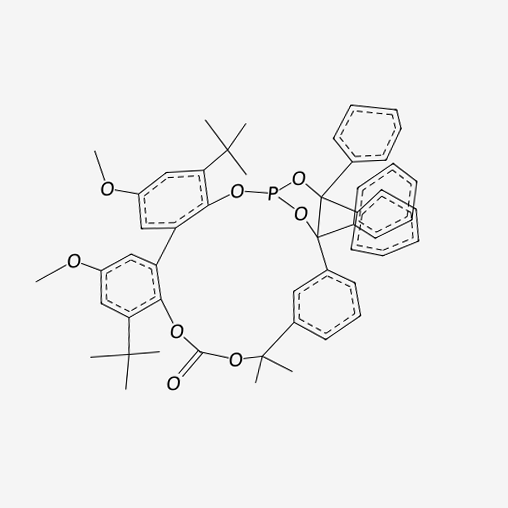 COc1cc2c(c(C(C)(C)C)c1)OC(=O)OC(C)(C)c1cccc(c1)C1(c3ccccc3)OP(Oc3c-2cc(OC)cc3C(C)(C)C)OC1(c1ccccc1)c1ccccc1